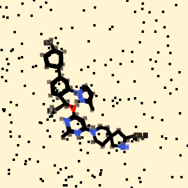 Cc1ccn(-c2cc(-c3ccc(C(C)(C)C)cc3)ccc2[C@@H](Oc2cc(N3CCC4(CC3)CNC(C(=O)O)C4)nc(C)n2)C(F)(F)F)n1